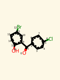 O=C(c1ccc(Cl)cc1)c1cc(Br)ccc1O